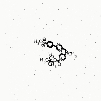 CN(Cc1cnc(-c2ccc(S(C)(=O)=O)cc2)cn1)C1CCN(C(=O)OCC(C)(C)C)CC1